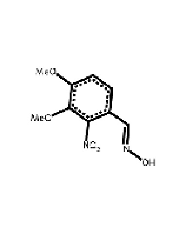 COc1ccc(C=NO)c([N+](=O)[O-])c1OC